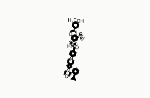 CC1(O)CCC([C@H]2COc3cc(S(=O)(=O)NC(=O)c4ccc(N5CCC6(CC5)CC(N5CCOC[C@H]5c5ccccc5C5CC5)C6)cc4)cc([N+](=O)[O-])c3S2)CC1